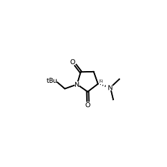 CN(C)[C@H]1CC(=O)N(CC(C)(C)C)C1=O